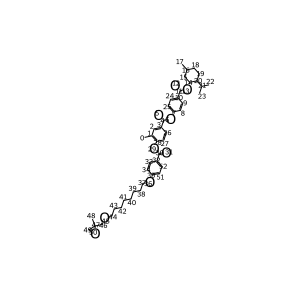 Cc1cc(C(=O)Oc2ccc(C(=O)OC3CC(C)CCC3C(C)C)cc2)ccc1OC(=O)c1ccc(OCCCCCCCCOCC2(C)CO2)cc1